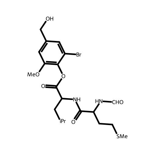 COc1cc(CO)cc(Br)c1OC(=O)C(CC(C)C)NC(=O)C(CCSC)NC=O